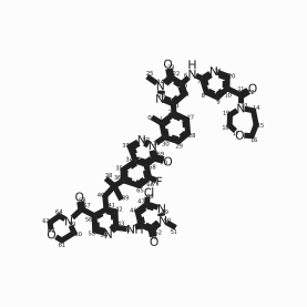 Cc1c(-c2cc(Nc3ccc(C(=O)N4CCCOCC4)cn3)c(=O)n(C)n2)cccc1-n1ncc2cc(C(C)(C)Cc3cc(Nc4cc(Cl)nn(C)c4=O)ncc3C(=O)N3CCOCC3)cc(F)c2c1=O